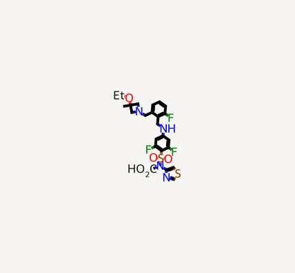 CCOC1(C)CN(Cc2cccc(F)c2CNc2cc(F)c(S(=O)(=O)N(C(=O)O)c3cscn3)c(F)c2)C1